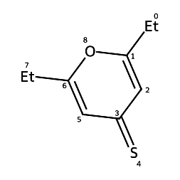 CCc1cc(=S)cc(CC)o1